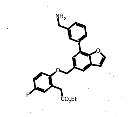 CCOC(=O)Cc1cc(F)ccc1OCc1cc(-c2cccc(CN)c2)c2occc2c1